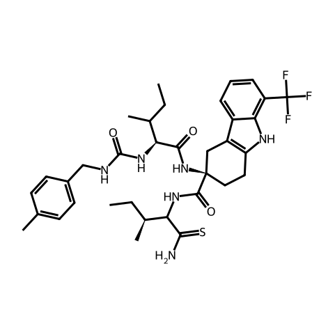 CCC(C)[C@H](NC(=O)NCc1ccc(C)cc1)C(=O)N[C@]1(C(=O)NC(C(N)=S)[C@@H](C)CC)CCc2[nH]c3c(C(F)(F)F)cccc3c2C1